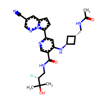 CC(=O)NC[C@H]1C[C@H](Nc2cc(-c3ccc4cc(C#N)cnn34)ncc2C(=O)NC[C@@H](F)C(C)(C)O)C1